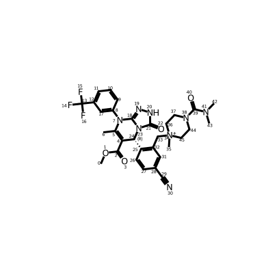 COC(=O)C1=C(C)N(c2cccc(C(F)(F)F)c2)c2n[nH]c(=O)n2[C@@H]1c1ccc(C#N)cc1C[N+]1(C)CCN(C(=O)N(C)C)CC1